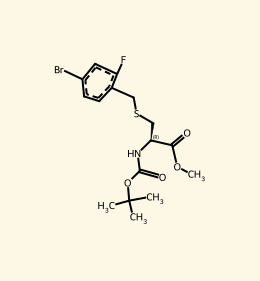 COC(=O)[C@H](CSCc1ccc(Br)cc1F)NC(=O)OC(C)(C)C